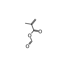 C=C(C)C(=O)OC=O